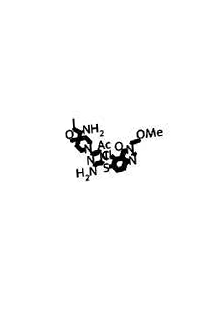 COCCn1cnc2ccc(Sc3nc(C(C)=O)c(N4CCC5(CC4)CO[C@@H](I)[C@H]5N)nc3N)c(Cl)c2c1=O